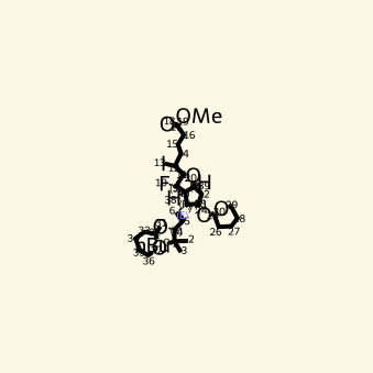 CCCCC(C)(C)[C@@H](/C=C/[C@@H]1[C@H]2[C@H](F)C(C(I)CCCC(=O)OC)O[C@@H]2C[C@H]1OC1CCCCO1)OC1CCCCO1